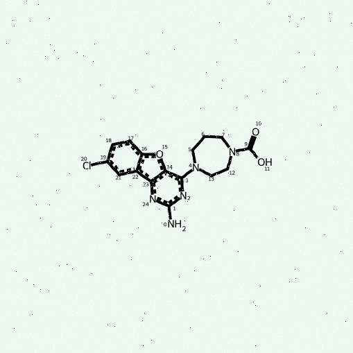 Nc1nc(N2CCCN(C(=O)O)CC2)c2oc3ccc(Cl)cc3c2n1